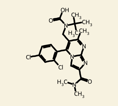 Cc1nc2nc(C(=O)N(C)C)cn2c(-c2ccc(Cl)cc2Cl)c1CN(C(=O)O)C(C)(C)C